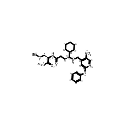 COC(=O)[C@@H](COC(C)(C)C)NC(=O)CC[C@H](NCc1cc(Oc2ccccc2)ncc1[N+](=O)[O-])C1CCCCC1